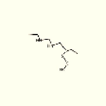 CCNCNCN(CC)SSS